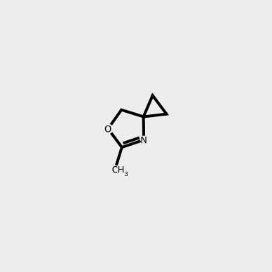 CC1=NC2(CC2)CO1